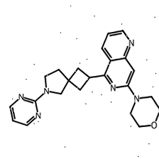 c1cnc(N2CCC3(CC(c4nc(N5CCOCC5)cc5ncccc45)C3)C2)nc1